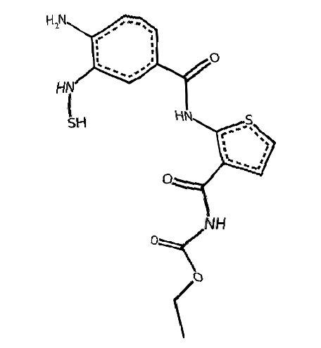 CCOC(=O)NC(=O)c1ccsc1NC(=O)c1ccc(N)c(NS)c1